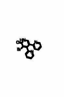 O=c1[nH]cc(-c2ccccn2)c(-c2ccccn2)c1Br